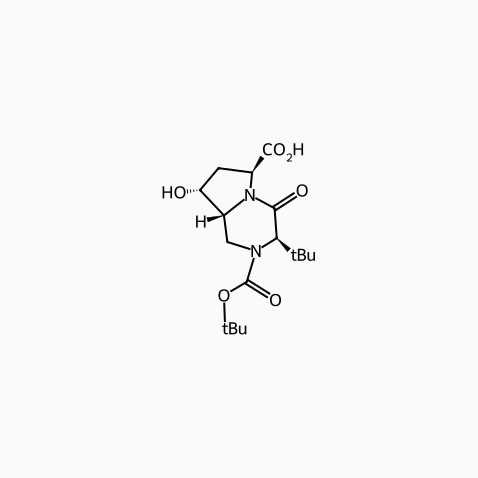 CC(C)(C)OC(=O)N1C[C@@H]2[C@H](O)C[C@@H](C(=O)O)N2C(=O)[C@H]1C(C)(C)C